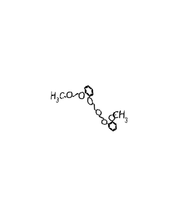 CCOCCOc1ccccc1OCCOCCOc1ccccc1OC